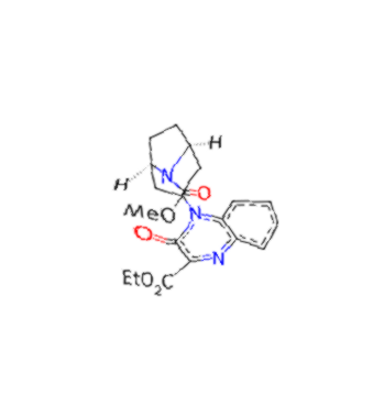 CCOC(=O)c1nc2ccccc2n(C2C[C@H]3CC[C@@H](C2)N3C(=O)OC)c1=O